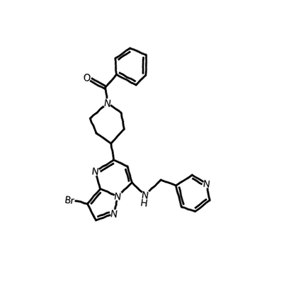 O=C(c1ccccc1)N1CCC(c2cc(NCc3cccnc3)n3ncc(Br)c3n2)CC1